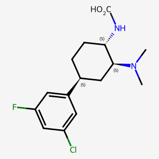 CN(C)[C@H]1C[C@@H](c2cc(F)cc(Cl)c2)CC[C@@H]1NC(=O)O